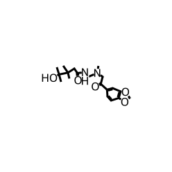 CN(CNC(=O)CC(C)(C)C(C)(C)O)CC(=O)c1ccc2c(c1)OCO2